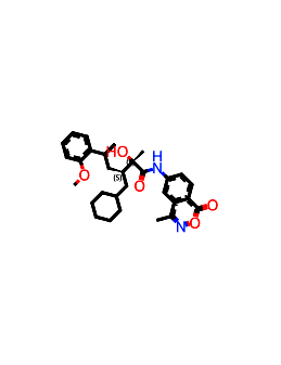 COc1ccccc1C(C)C[C@H](CC1CCCCC1)[C@](C)(O)C(=O)Nc1ccc2c(=O)onc(C)c2c1